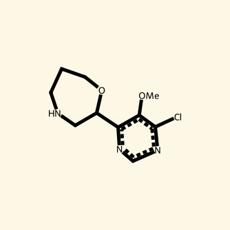 COc1c(Cl)ncnc1C1CNCCCO1